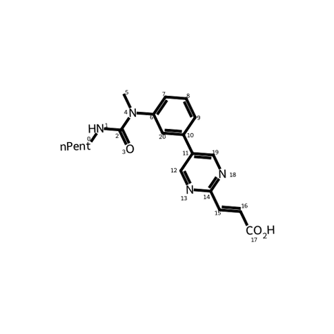 CCCCCNC(=O)N(C)c1cccc(-c2cnc(/C=C/C(=O)O)nc2)c1